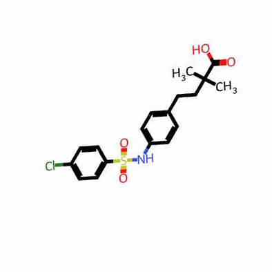 CC(C)(CCc1ccc(NS(=O)(=O)c2ccc(Cl)cc2)cc1)C(=O)O